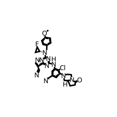 COc1ccc(CN(c2nc(Nc3cc(C#N)cc(N4CCN5C(=O)CC[C@@H]5C4)c3Cl)nc3c(C#N)cnn23)[C@@H]2C[C@@H]2F)cc1